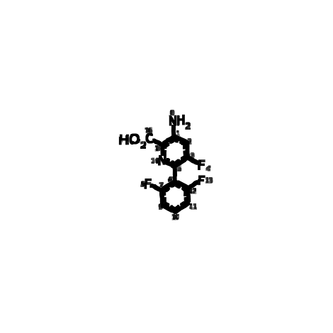 Nc1cc(F)c(-c2c(F)cccc2F)nc1C(=O)O